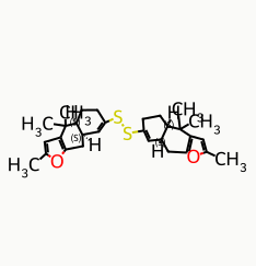 Cc1cc2c(o1)C[C@@H]1C=C(SSC3=C[C@H]4Cc5oc(C)cc5C(C)(C)[C@H]4CC3)CC[C@@H]1C2(C)C